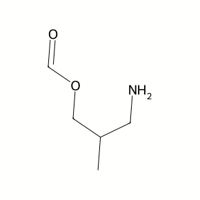 CC(CN)COC=O